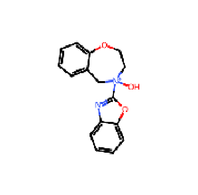 O[N+]1(c2nc3ccccc3o2)CCOc2ccccc2C1